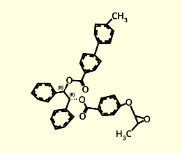 Cc1ccc(-c2ccc(C(=O)O[C@H](c3ccccc3)[C@H](OC(=O)c3ccc(OC4OC4C)cc3)c3ccccc3)cc2)cc1